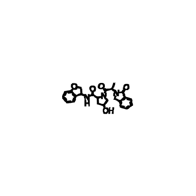 CC(C(=O)N1CC(O)CC1C(=O)NC1COc2ccccc21)N1Cc2ccccc2C1=O